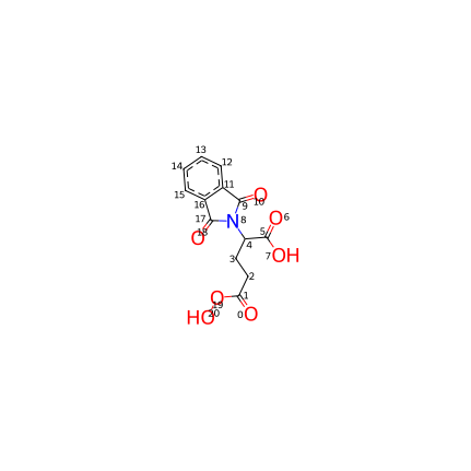 O=C(CCC(C(=O)O)N1C(=O)c2ccccc2C1=O)OO